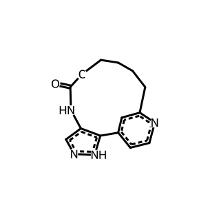 O=C1CCCCCc2cc(ccn2)-c2[nH]ncc2N1